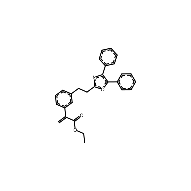 C=C(C(=O)OCC)c1cccc(CCc2nc(-c3ccccc3)c(-c3ccccc3)o2)c1